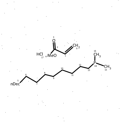 C=CC(=O)OC.CCCCCCCCCCCCCCCCCCP(C)C.Cl